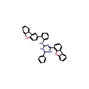 c1ccc(C2NC(c3cccc4c3oc3ccccc34)=NC(Nc3ccccc3-c3ccc4oc5ccccc5c4c3)N2)cc1